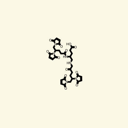 O=C(O)CCC(CNCC(=O)CCC(CN1C(=O)C=CC1=O)N1C(=O)C=CC1=O)NC(=O)CCC(CN1C(=O)C=CC1=O)N1C(=O)C=CC1=O